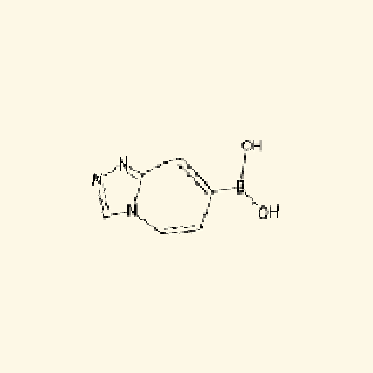 OB(O)c1ccn2cnnc2c1